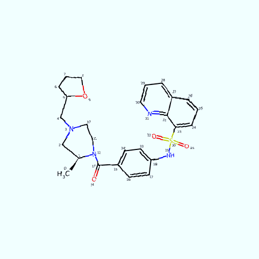 C[C@H]1CN(CC2CCCO2)CCN1C(=O)c1ccc(NS(=O)(=O)c2cccc3cccnc23)cc1